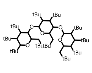 CC(C)(C)CC1OC(OC2C(CC(C)(C)C)OC(C(C)(C)C)C(C(C)(C)C)C2C(C)(C)C)C(C(C)(C)C)C(C(C)(C)C)C1OC1OC(CC(C)(C)C)C(C(C)(C)C)C(C(C)(C)C)C1C(C)(C)C